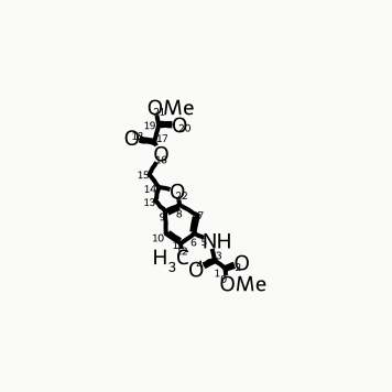 COC(=O)C(=O)Nc1cc2c(cc1C)CC(COC(=O)C(=O)OC)O2